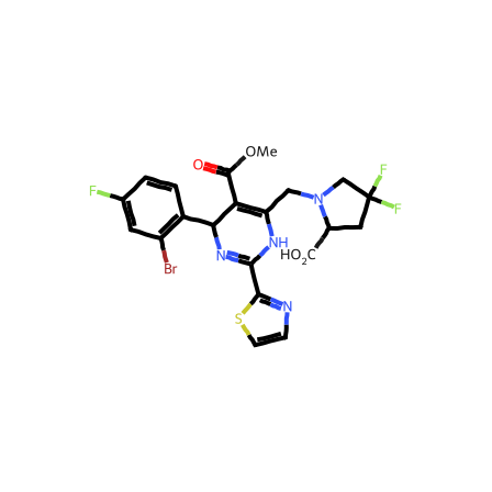 COC(=O)C1=C(CN2CC(F)(F)CC2C(=O)O)NC(c2nccs2)=NC1c1ccc(F)cc1Br